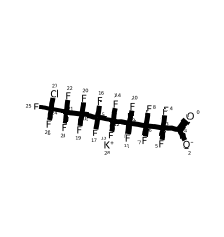 O=C([O-])C(F)(F)C(F)(F)C(F)(F)C(F)(F)C(F)(F)C(F)(F)C(F)(F)C(F)(F)Cl.[K+]